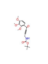 COc1ccc(C(=O)C#CCNC(=O)OC(C)(C)C)c(OC)c1OC